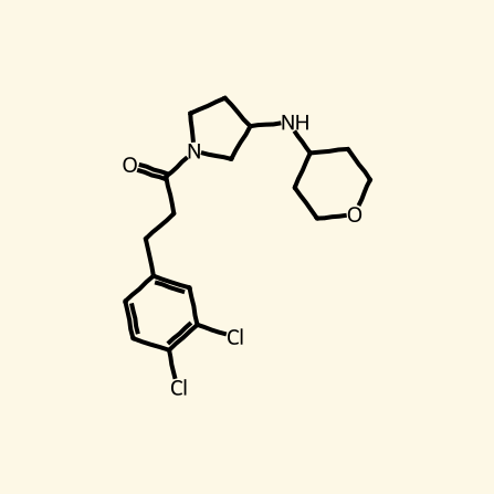 O=C(CCc1ccc(Cl)c(Cl)c1)N1CCC(NC2CCOCC2)C1